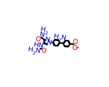 COC(=O)c1ccc(-c2ccc(-n3cc(NC(N)=O)c(C(N)=O)n3)cc2)c(N)c1